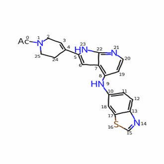 CC(=O)N1CC=C(c2cc3c(Nc4ccc5ncsc5c4)ccnc3[nH]2)CC1